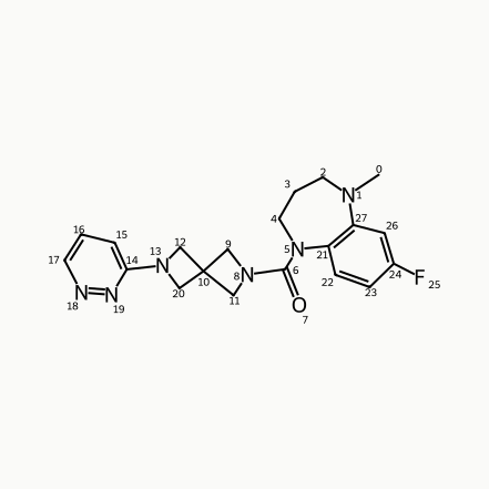 CN1CCCN(C(=O)N2CC3(C2)CN(c2cccnn2)C3)c2ccc(F)cc21